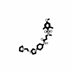 COc1cc(C)c(S(=O)(=O)N(C)CCC(=O)NC2CCC(N3CC[C@H](CCN4CCCC4)C3)CC2)c(C)c1